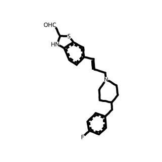 O=CC1Nc2ccc(C=CCN3CCC(Cc4ccc(F)cc4)CC3)cc2S1